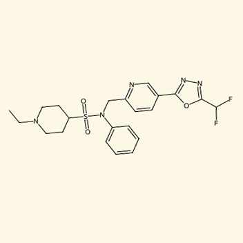 CCN1CCC(S(=O)(=O)N(Cc2ccc(-c3nnc(C(F)F)o3)cn2)c2ccccc2)CC1